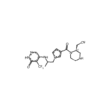 CC(Cn1ccc(C(=O)N2CCNC[C@@H]2CC#N)c1)Nc1cn[nH]c(=O)c1C(F)(F)F